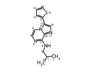 CC(C)CNc1nccn2c(-c3cccs3)cnc12